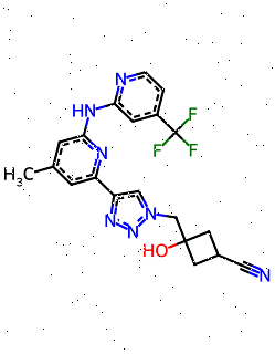 Cc1cc(Nc2cc(C(F)(F)F)ccn2)nc(-c2cn(CC3(O)CC(C#N)C3)nn2)c1